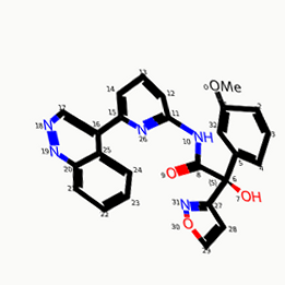 COc1cccc([C@@](O)(C(=O)Nc2cccc(-c3cnnc4ccccc34)n2)c2ccon2)c1